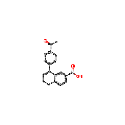 CC(=O)c1ccc(C2=CCCc3ccc(C(=O)O)cc32)cc1